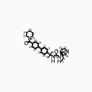 CCC1(NC(=O)NC(C)(C)c2ccc(-c3ccc(C(=O)N4CCCCC4)cc3)cc2)CN2CCC1CC2